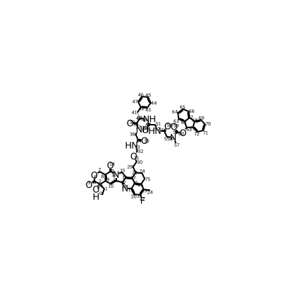 CC[C@@]1(O)C(=O)OCc2c1cc1n(c2=O)Cc2c-1nc1cc(F)c(C)c3c1c2C(CCOCNC(=O)CNC(=O)[C@H](Cc1ccccc1)NC(=O)CNC(=O)CN(C)C(=O)OC1c2ccccc2-c2ccccc21)CC3